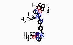 C[SiH2]CC#Cn1c(-c2ccc(-c3ccc(-c4cnc([C@@H]5CCCN5C(=O)OC(C)(C)C)[nH]4)cc3)cn2)cnc1[C@@H]1CCCN1C(=O)OC(C)(C)C